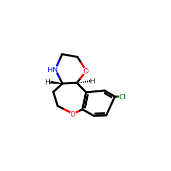 Clc1ccc2c(c1)[C@@H]1OCCN[C@H]1CCO2